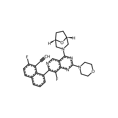 C#Cc1c(F)ccc2cccc(-c3ncc4c(N5C[C@H]6CC[C@@H](C5)O6)nc(N5CCOCC5)nc4c3F)c12